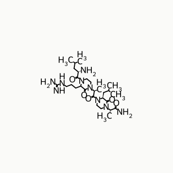 CC(C)C[C@H](N)C(=O)N1CCN([C@@H](C)C(=O)N2CCN([C@@H](C)C(N)=O)C(=O)[C@@H]2CC(C)C)C(=O)C1CCCNC(=N)N